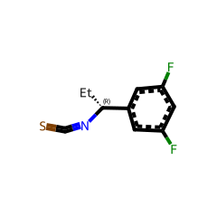 CC[C@@H](N=C=S)c1cc(F)cc(F)c1